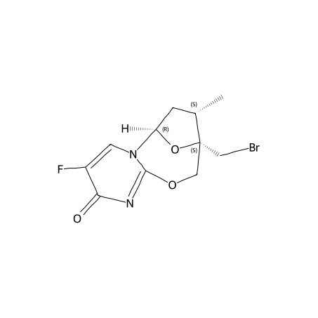 C[C@H]1C[C@H]2O[C@]1(CBr)COc1nc(=O)c(F)cn12